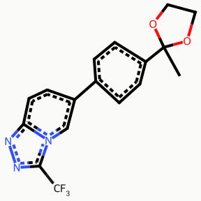 CC1(c2ccc(-c3ccc4nnc(C(F)(F)F)n4c3)cc2)OCCO1